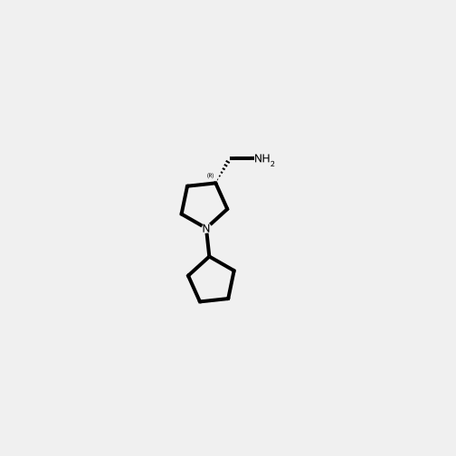 NC[C@H]1CCN(C2CCCC2)C1